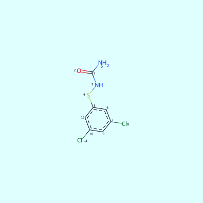 NC(=O)NSc1cc(Cl)cc(Cl)c1